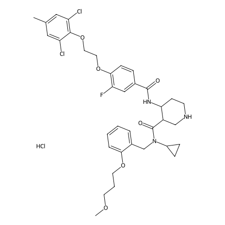 COCCCOc1ccccc1CN(C(=O)C1CNCCC1NC(=O)c1ccc(OCCOc2c(Cl)cc(C)cc2Cl)c(F)c1)C1CC1.Cl